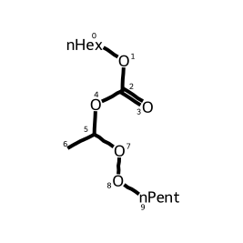 CCCCCCOC(=O)OC(C)OOCCCCC